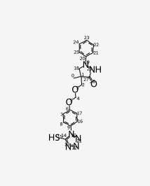 CC1(COCOc2ccc(-n3nnnc3S)cc2)CN(c2ccccc2)NC1=O